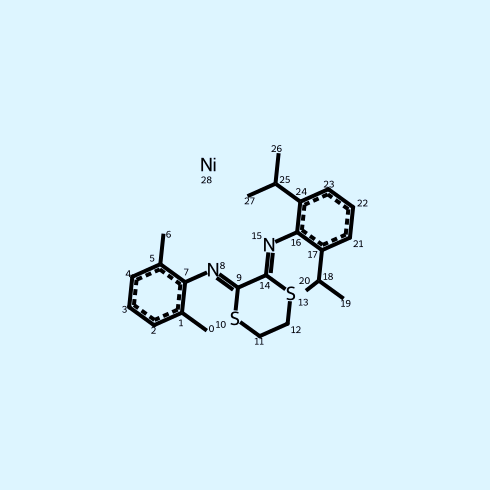 Cc1cccc(C)c1N=C1SCCSC1=Nc1c(C(C)C)cccc1C(C)C.[Ni]